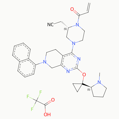 C=CC(=O)N1CCN(c2nc(OC3([C@@H]4CCCN4C)CC3)nc3c2CCN(c2cccc4ccccc24)C3)C[C@@H]1CC#N.O=C(O)C(F)(F)F